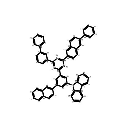 c1ccc(-c2cccc(-c3nc(-c4cc(-c5ccc6ccccc6c5)cc(-n5c6ccccc6c6ccccc65)c4)nc(-c4ccc5cc(-c6ccccc6)ccc5c4)n3)c2)cc1